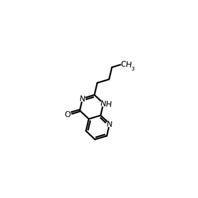 CCCCc1nc(=O)c2cccnc2[nH]1